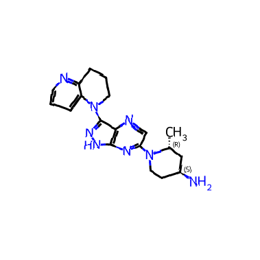 C[C@@H]1C[C@@H](N)CCN1c1cnc2c(N3CCCc4ncccc43)n[nH]c2n1